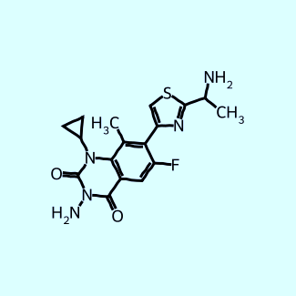 Cc1c(-c2csc(C(C)N)n2)c(F)cc2c(=O)n(N)c(=O)n(C3CC3)c12